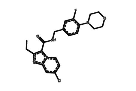 CCc1nc2cc(Cl)ccn2c1C(=O)NCc1ccc(N2CCOCC2)c(F)c1